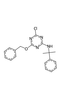 CC(C)(Nc1nc(Cl)nc(OCc2ccccc2)n1)c1ccccc1